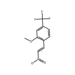 COc1cc(C(F)(F)F)ccc1/C=C/[N+](=O)[O-]